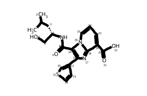 CC(C)C[C@@H](CO)NC(=O)c1c(-c2ccsc2)nc2c(C(=O)O)cccn12